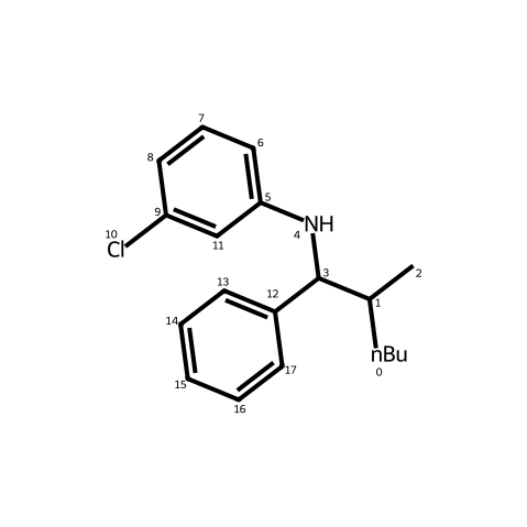 CCCCC(C)C(Nc1cccc(Cl)c1)c1ccccc1